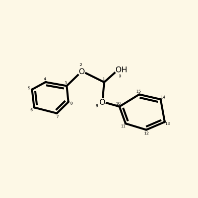 OC(Oc1ccccc1)Oc1ccccc1